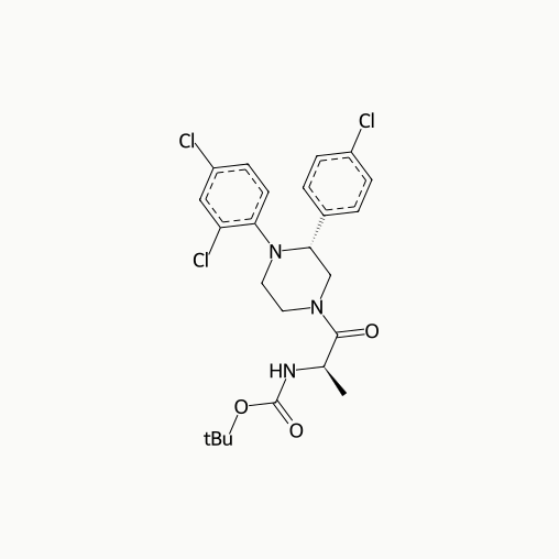 C[C@@H](NC(=O)OC(C)(C)C)C(=O)N1CCN(c2ccc(Cl)cc2Cl)[C@H](c2ccc(Cl)cc2)C1